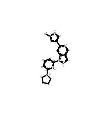 CCn1cc(-c2cc3c(cn2)cnn3-c2cccc(N3CCCC3)n2)cn1